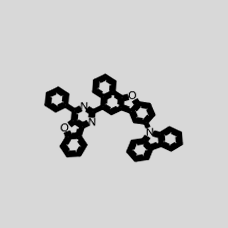 c1ccc(-c2nc(-c3cc4c5cc(-n6c7ccccc7c7ccccc76)ccc5oc4c4ccccc34)nc3c2oc2ccccc23)cc1